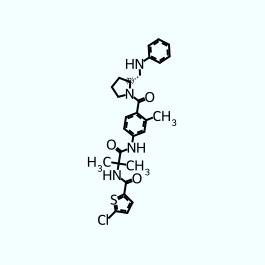 Cc1cc(NC(=O)C(C)(C)NC(=O)c2ccc(Cl)s2)ccc1C(=O)N1CCC[C@@H]1CNc1ccccc1